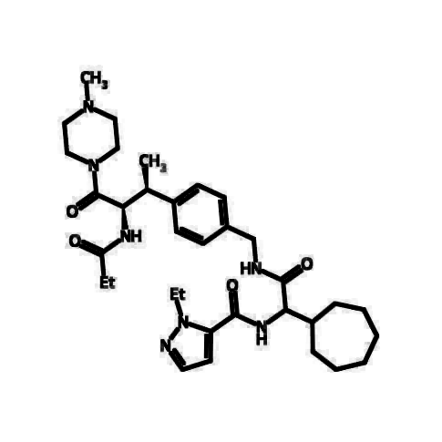 CCC(=O)N[C@@H](C(=O)N1CCN(C)CC1)[C@@H](C)c1ccc(CNC(=O)C(NC(=O)c2ccnn2CC)C2CCCCCC2)cc1